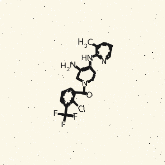 Cc1cccnc1NC1=C(N)CN(C(=O)c2cccc(C(F)(F)F)c2Cl)CC1